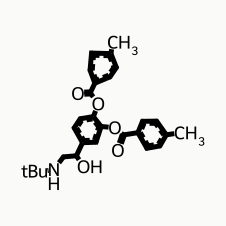 Cc1ccc(C(=O)Oc2ccc(C(O)CNC(C)(C)C)cc2OC(=O)c2ccc(C)cc2)cc1